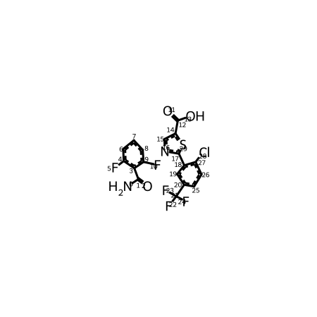 NC(=O)c1c(F)cccc1F.O=C(O)c1cnc(-c2cc(C(F)(F)F)ccc2Cl)s1